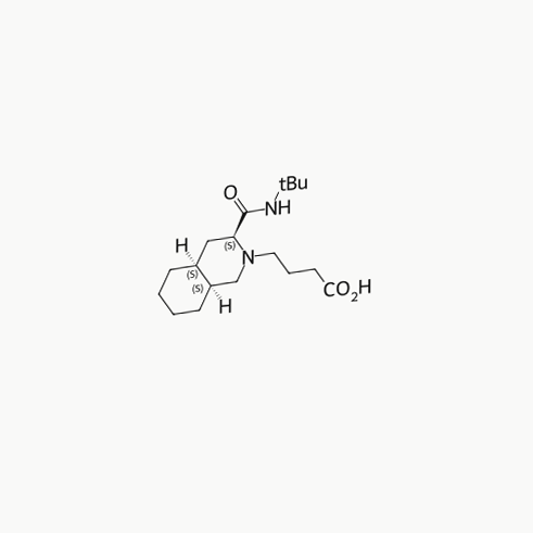 CC(C)(C)NC(=O)[C@@H]1C[C@@H]2CCCC[C@@H]2CN1CCCC(=O)O